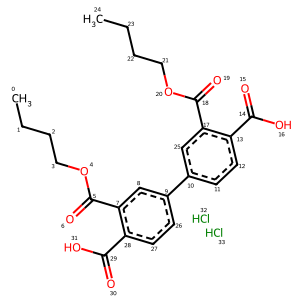 CCCCOC(=O)c1cc(-c2ccc(C(=O)O)c(C(=O)OCCCC)c2)ccc1C(=O)O.Cl.Cl